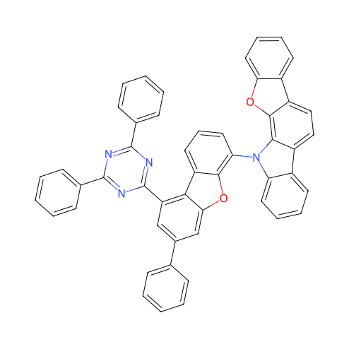 c1ccc(-c2cc(-c3nc(-c4ccccc4)nc(-c4ccccc4)n3)c3c(c2)oc2c(-n4c5ccccc5c5ccc6c7ccccc7oc6c54)cccc23)cc1